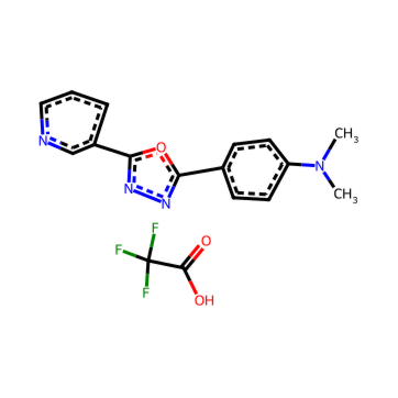 CN(C)c1ccc(-c2nnc(-c3cccnc3)o2)cc1.O=C(O)C(F)(F)F